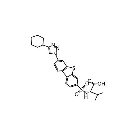 CC(C)[C@H](NS(=O)(=O)c1ccc2c(c1)sc1cc(-n3cc(C4CCCCC4)nn3)ccc12)C(=O)O